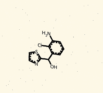 Nc1cccc(C(O)c2nccs2)c1Cl